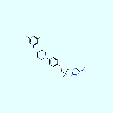 CC1(COc2ccc(N3CCC(Nc4cc(Cl)cc(Cl)c4)CC3)cc2)Cn2cc([N+](=O)[O-])nc2O1